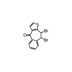 O=C1c2ccccc2C(Br)C(Br)c2sccc21